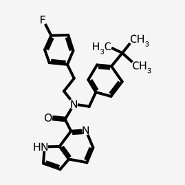 CC(C)(C)c1ccc(CN(CCc2ccc(F)cc2)C(=O)c2nccc3cc[nH]c23)cc1